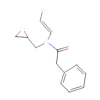 CCC=CN(CC1CO1)C(=O)Cc1ccccc1